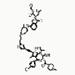 CCCC(C(=O)NC=O)N1Cc2c(NC3CCN(CCCn4cc(C#Cc5sc6c(c5C)C(c5ccc(Cl)cc5)=N[C@@H](CC(=O)N5CCN(C)CC5)C(=N)N6C(C)=N)cn4)CC3)cccc2C1=O